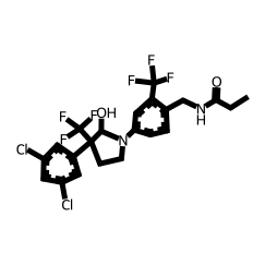 CCC(=O)NCc1ccc(N2CCC(c3cc(Cl)cc(Cl)c3)(C(F)(F)F)C2O)cc1C(F)(F)F